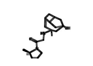 C[C@@H]1CCCN1C(=O)CNC1(C)C=C2CC3CC(O)(CC23)C1